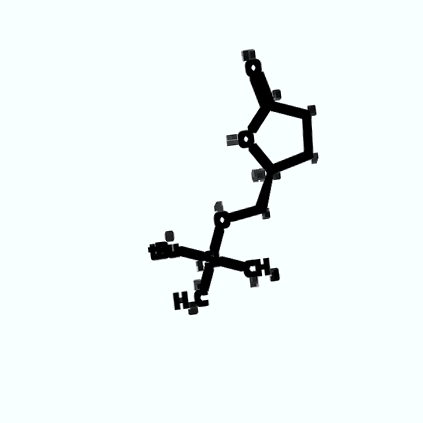 CC(C)(C)[Si](C)(C)OC[C@@H]1CCC(=O)O1